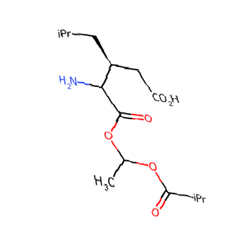 CC(C)C[C@@H](CC(=O)O)C(N)C(=O)OC(C)OC(=O)C(C)C